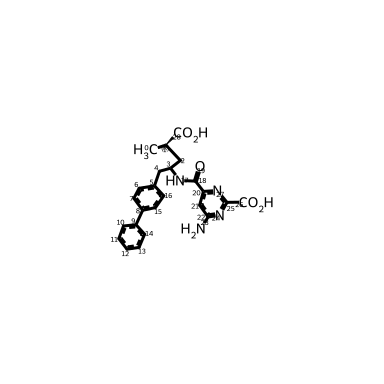 C[C@H](CC(Cc1ccc(-c2ccccc2)cc1)NC(=O)c1cc(N)nc(C(=O)O)n1)C(=O)O